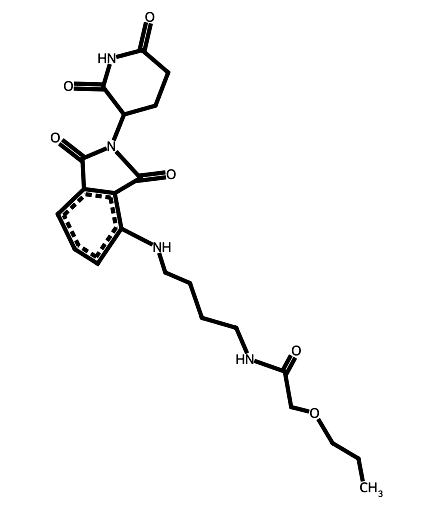 CCCOCC(=O)NCCCCNc1cccc2c1C(=O)N(C1CCC(=O)NC1=O)C2=O